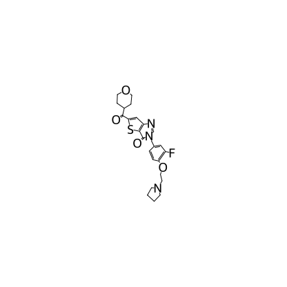 O=C(c1cc2ncn(-c3ccc(OCCN4CCCC4)c(F)c3)c(=O)c2s1)C1CCOCC1